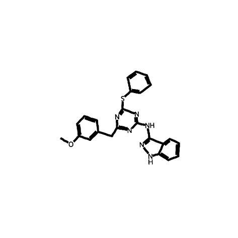 COc1cccc(Cc2nc(Nc3n[nH]c4ccccc34)nc(Sc3ccccc3)n2)c1